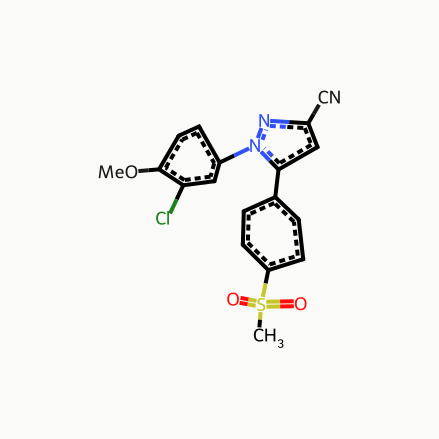 COc1ccc(-n2nc(C#N)cc2-c2ccc(S(C)(=O)=O)cc2)cc1Cl